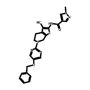 Cn1cc(C(=O)Nc2sc3c(c2C#N)CCN(c2ncc(OCc4ccccc4)cn2)C3)cn1